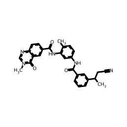 Cc1ccc(NC(=O)c2cccc(C(C)CC#N)c2)cc1NC(=O)c1ccc2ncn(C)c(=O)c2c1